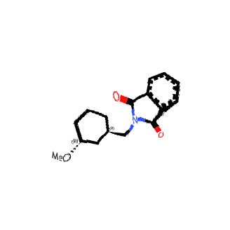 CO[C@@H]1CCC[C@@H](CN2C(=O)c3ccccc3C2=O)C1